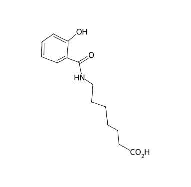 O=C(O)CCCCCCNC(=O)c1ccccc1O